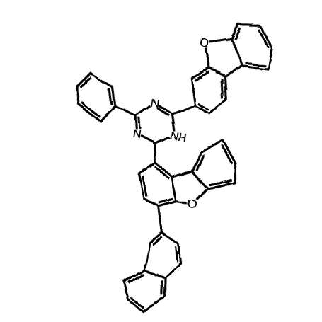 c1ccc(C2=NC(c3ccc(-c4ccc5ccccc5c4)c4oc5ccccc5c34)NC(c3ccc4c(c3)oc3ccccc34)=N2)cc1